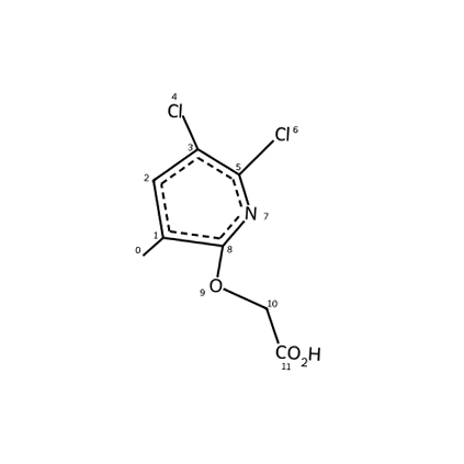 Cc1cc(Cl)c(Cl)nc1OCC(=O)O